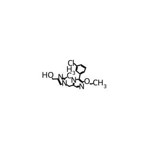 CCOc1ncc(Cn2cc(CO)nc2C)nc1-c1cccc(Cl)c1